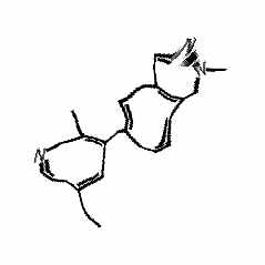 Cc1cnc(C)c(-c2ccc3c(cnn3C)c2)c1